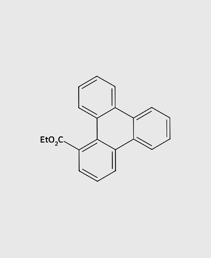 CCOC(=O)c1cccc2c3ccccc3c3ccccc3c12